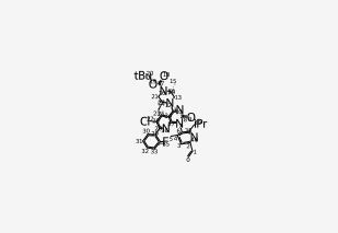 C=Cc1cc(C)c(-n2c(=O)nc(N3C[C@@H](C)N(C(=O)OC(C)(C)C)C[C@@H]3C)c3cc(Cl)c(-c4ccccc4F)nc32)c(C(C)C)n1